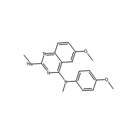 CNc1nc(N(C)c2ccc(OC)cc2)c2cc(OC)ccc2n1